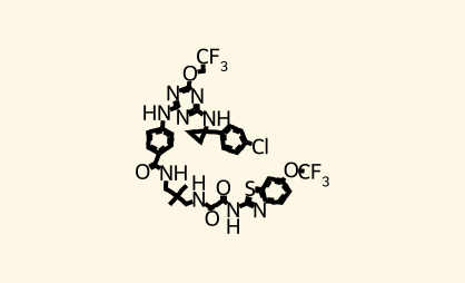 CC(C)(CNC(=O)C(=O)Nc1nc2ccc(OC(F)(F)F)cc2s1)CNC(=O)c1ccc(Nc2nc(NC3(c4ccc(Cl)cc4)CC3)nc(OCC(F)(F)F)n2)cc1